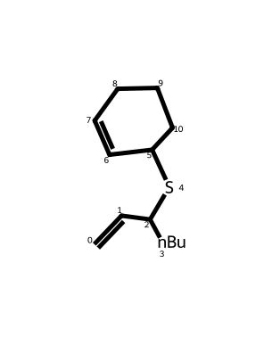 C=CC(CCCC)SC1C=CCCC1